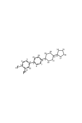 Fc1ccc(-c2ccc(C3CCC(C4CCCC4)CC3)cc2)cc1F